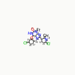 CCn1c(=O)[nH]c(=O)c2c1nc(-c1ccc(Cl)nc1C)n2Cc1ccc(Cl)cc1